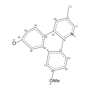 [CH2]c1cnc(-c2ccc(OC)cc2)c(-c2ccc(Cl)cc2)c1